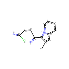 Cc1cc2ccccn2c1C(=N)/C=C\C(=N)Cl